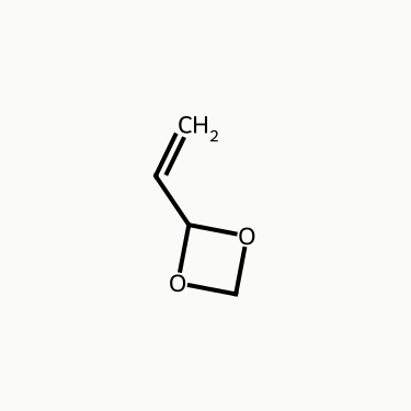 C=CC1OCO1